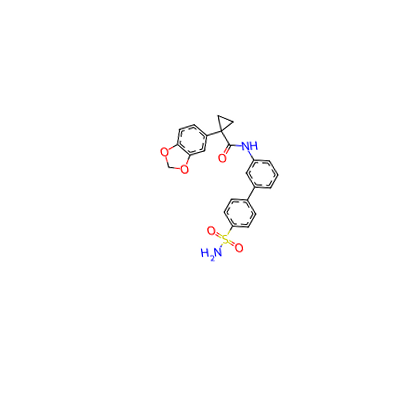 NS(=O)(=O)c1ccc(-c2cccc(NC(=O)C3(c4ccc5c(c4)OCO5)CC3)c2)cc1